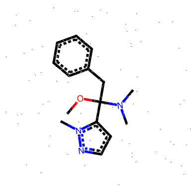 COC(Cc1ccccc1)(c1ccnn1C)N(C)C